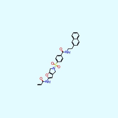 C=CC(=O)Nc1cc2c(o1)CN(S(=O)(=O)c1ccc(C(=O)NCCc3ccc4ccccc4c3)cc1)C2